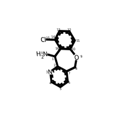 NC1c2ncccc2COc2cccc(Cl)c21